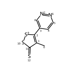 Cc1c(-c2ccnnc2)ssc1=S